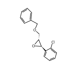 Clc1ccccc1[C@H]1O[C@@H]1COCc1ccccc1